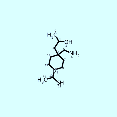 CC(O)CC1(CN)CCN(C(C)S)CC1